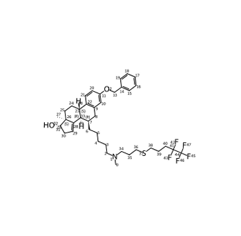 CN(CCCCC[C@@H]1Cc2cc(OCc3ccccc3)ccc2[C@H]2CC[C@@]3(C)C(=CC[C@@H]3O)[C@H]12)CCCSCCCC(F)(F)C(F)(F)F